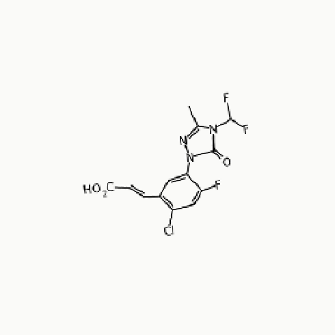 Cc1nn(-c2cc(C=CC(=O)O)c(Cl)cc2F)c(=O)n1C(F)F